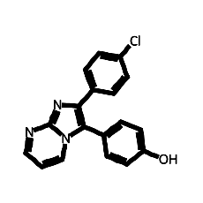 Oc1ccc(-c2c(-c3ccc(Cl)cc3)nc3ncccn23)cc1